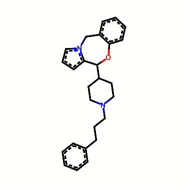 c1ccc(CCCN2CCC(C3Oc4ccccc4Cn4cccc43)CC2)cc1